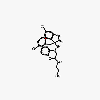 O=C(CC(NC1(Cc2cccc(Cl)c2)C(=O)Nc2cc(Cl)ccc21)c1ccccc1)NCCO